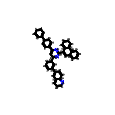 c1ccc(-c2ccc(-c3cc(-c4cccc(-c5ccc6ncccc6c5)c4)nc(-c4cc5ccccc5c5ccccc45)n3)cc2)cc1